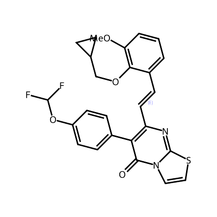 COc1cccc(/C=C/c2nc3sccn3c(=O)c2-c2ccc(OC(F)F)cc2)c1OCC1CC1